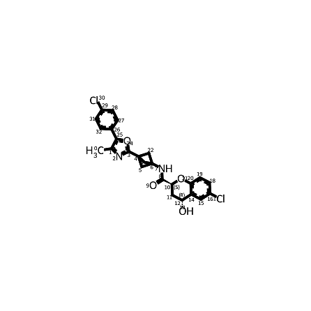 Cc1nc(C23CC(NC(=O)[C@@H]4C[C@@H](O)c5cc(Cl)ccc5O4)(C2)C3)oc1-c1ccc(Cl)cc1